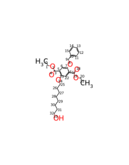 CCOC(=O)c1cc(OCc2ccccc2)c(C(=O)OCC)cc1OCCCCCCCCO